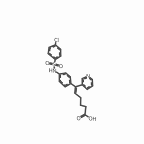 O=C(O)CCC/C=C(/c1ccc(NS(=O)(=O)c2ccc(Cl)cc2)cc1)c1cccnc1